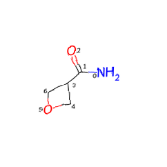 NC(=O)C1COC1